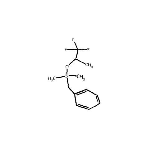 CC(O[Si](C)(C)Cc1ccccc1)C(F)(F)F